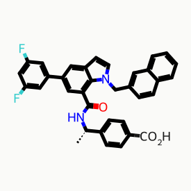 C[C@H](NC(=O)c1cc(-c2cc(F)cc(F)c2)cc2ccn(Cc3ccc4ccccc4c3)c12)c1ccc(C(=O)O)cc1